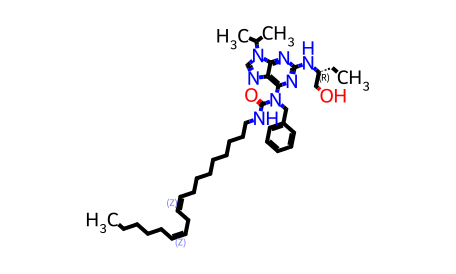 CCCCC/C=C\C/C=C\CCCCCCCCNC(=O)N(Cc1ccccc1)c1nc(N[C@H](CC)CO)nc2c1ncn2C(C)C